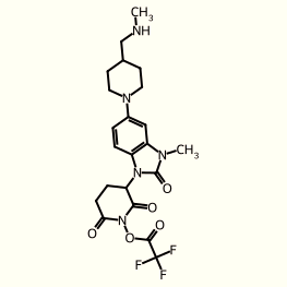 CNCC1CCN(c2ccc3c(c2)n(C)c(=O)n3C2CCC(=O)N(OC(=O)C(F)(F)F)C2=O)CC1